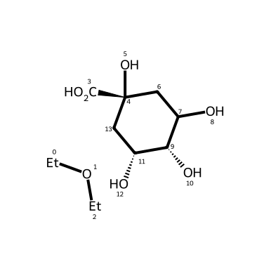 CCOCC.O=C(O)[C@@]1(O)CC(O)[C@H](O)[C@H](O)C1